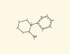 SC1CCCCN1c1ccccc1